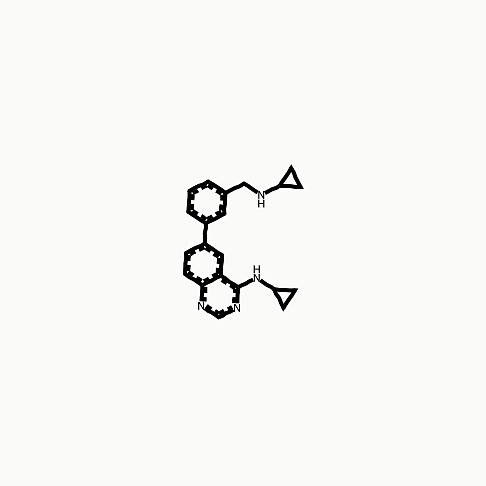 c1cc(CNC2CC2)cc(-c2ccc3ncnc(NC4CC4)c3c2)c1